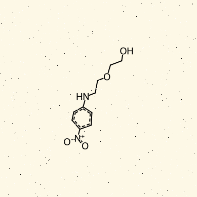 O=[N+]([O-])c1ccc(NCCOCCO)cc1